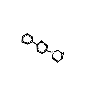 C1=CN(c2ccc(-c3ccccc3)cc2)CN=C1